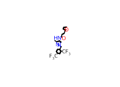 Cc1nn(Cc2ccc(C(F)(F)F)cc2C(F)(F)F)cc1NC(=O)/C=C/c1ccco1